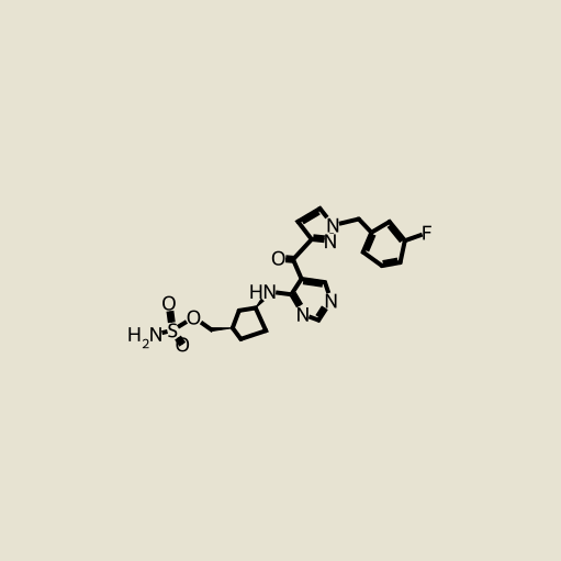 NS(=O)(=O)OC[C@@H]1CC[C@H](Nc2ncncc2C(=O)c2ccn(Cc3cccc(F)c3)n2)C1